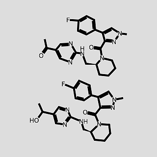 CC(=O)c1cnc(NC[C@@H]2CCCCN2C(=O)c2nn(C)cc2-c2ccc(F)cc2)nc1.CC(O)c1cnc(NC[C@@H]2CCCCN2C(=O)c2nn(C)cc2-c2ccc(F)cc2)nc1